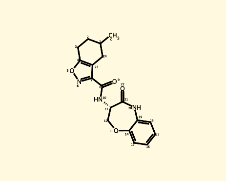 CC1CCc2onc(C(=O)N[C@H]3COc4ccccc4NC3=O)c2C1